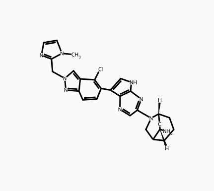 Cn1ccnc1Cn1cc2c(Cl)c(-c3c[nH]c4nc(N5CC6CCC[C@@H]5C[C@@H]6N)cnc34)ccc2n1